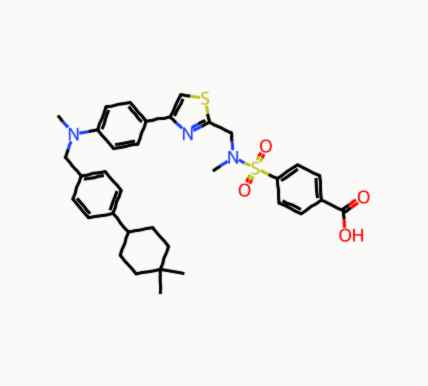 CN(Cc1ccc(C2CCC(C)(C)CC2)cc1)c1ccc(-c2csc(CN(C)S(=O)(=O)c3ccc(C(=O)O)cc3)n2)cc1